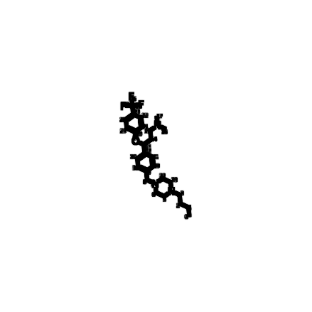 CCCCN1CCN(Cc2ccc(C(CCN(C)C)Oc3ccc(C(F)(F)F)cc3)cc2)CC1